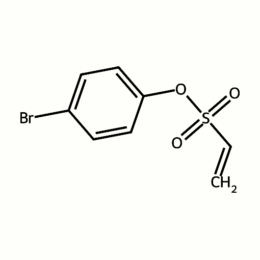 C=CS(=O)(=O)Oc1ccc(Br)cc1